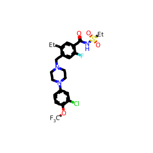 CCc1cc(C(=O)NS(=O)(=O)CC)c(F)cc1CN1CCN(c2ccc(OC(F)(F)F)c(Cl)c2)CC1